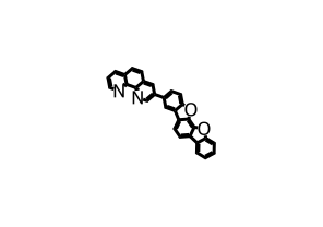 c1cnc2c(c1)ccc1cc(-c3ccc4oc5c(ccc6c7ccccc7oc65)c4c3)cnc12